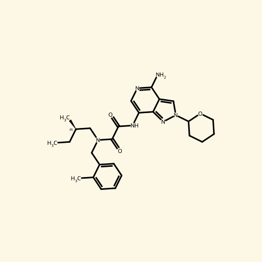 CC[C@@H](C)CN(Cc1ccccc1C)C(=O)C(=O)Nc1cnc(N)c2cn(C3CCCCO3)nc12